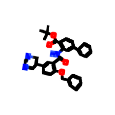 CC(C)(C)OC(=O)c1ccc(-c2ccccc2)cc1NC(=O)c1cc(-c2cncnc2)ccc1OCc1ccccc1